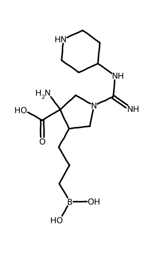 N=C(NC1CCNCC1)N1CC(CCCB(O)O)C(N)(C(=O)O)C1